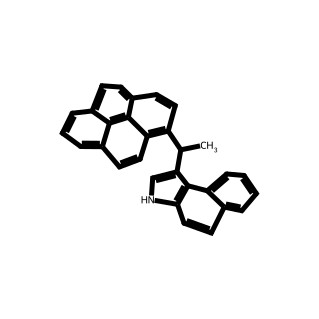 CC(c1ccc2ccc3cccc4ccc1c2c34)c1c[nH]c2ccc3ccccc3c12